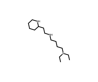 CCN(CC)CCCCNCCC1CCCCN1